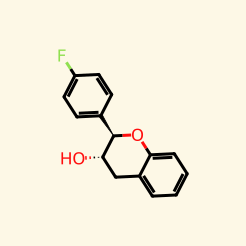 O[C@H]1Cc2ccccc2O[C@@H]1c1ccc(F)cc1